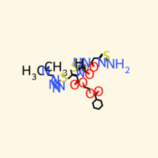 CN(C)CCn1nnnc1SCC1=C(C(=O)OCCOC(=O)C2CCCCC2)N2C(=O)[C@@H](NC(=O)Cc3csc(N)n3)[C@@H]2SC1